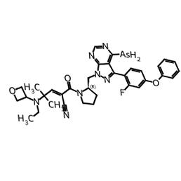 CCN(C1COC1)C(C)(C)C=C(C#N)C(=O)N1CCC[C@@H]1Cn1nc(-c2ccc(Oc3ccccc3)cc2F)c2c([AsH2])ncnc21